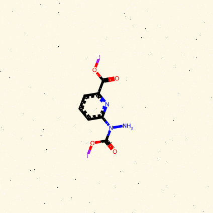 NN(C(=O)OI)c1cccc(C(=O)OI)n1